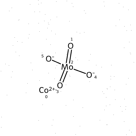 [Co+2].[O]=[Mo](=[O])([O-])[O-]